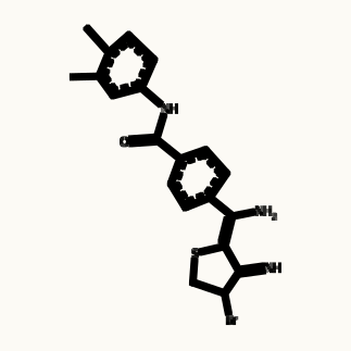 Cc1ccc(NC(=O)c2ccc(/C(N)=C3\SCC(Br)C3=N)cc2)cc1C